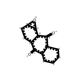 O=c1c2ccccc2c(=O)c2c1ccc1oc12